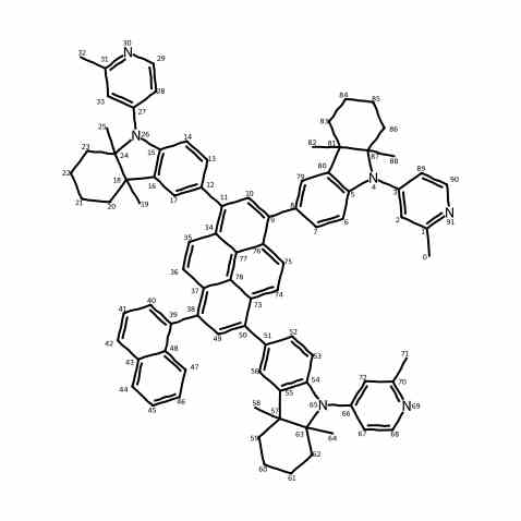 Cc1cc(N2c3ccc(-c4cc(-c5ccc6c(c5)C5(C)CCCCC5(C)N6c5ccnc(C)c5)c5ccc6c(-c7cccc8ccccc78)cc(-c7ccc8c(c7)C7(C)CCCCC7(C)N8c7ccnc(C)c7)c7ccc4c5c76)cc3C3(C)CCCCC23C)ccn1